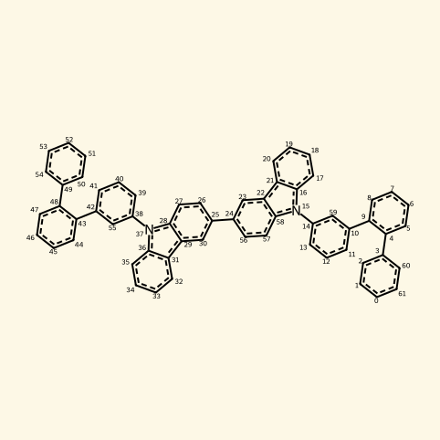 c1ccc(-c2ccccc2-c2cccc(-n3c4ccccc4c4cc(-c5ccc6c(c5)c5ccccc5n6-c5cccc(-c6ccccc6-c6ccccc6)c5)ccc43)c2)cc1